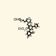 CCOC(=O)C1=C(CN2CCOCC2CCOC=O)NC(c2nccs2)=NC1c1ccc(F)cc1Br